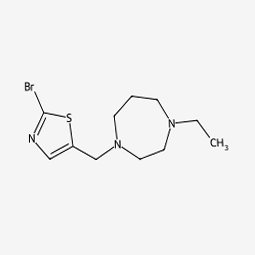 CCN1CCCN(Cc2cnc(Br)s2)CC1